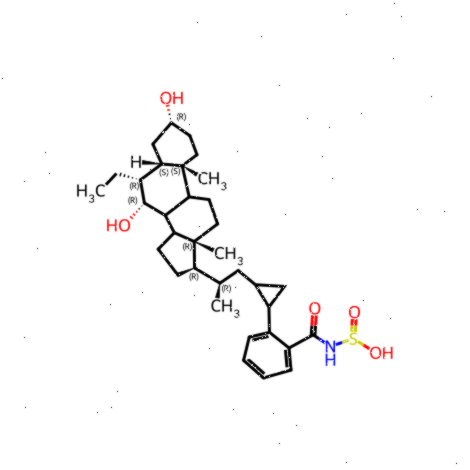 CC[C@H]1[C@@H](O)C2C3CC[C@H]([C@H](C)CC4CC4c4ccccc4C(=O)NS(=O)O)[C@@]3(C)CCC2[C@@]2(C)CC[C@@H](O)C[C@@H]12